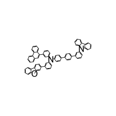 c1cc(-c2ccc3c(c2)oc2ccccc23)cc(N(c2ccc(-c3ccc(-c4cccc(-n5c6ccccc6c6ccccc65)c4)cc3)cc2)c2cccc(-c3cc4ccccc4c4ccccc34)c2)c1